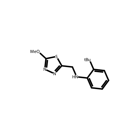 COc1nnc(CNc2ccccc2C(C)(C)C)s1